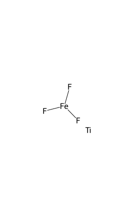 [F][Fe]([F])[F].[Ti]